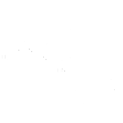 Cc1cc(NC(=O)c2nc(N3CC(C)(CO)C3)oc2CC(F)(F)F)cc(F)c1OC1CC2CC(C2)C1